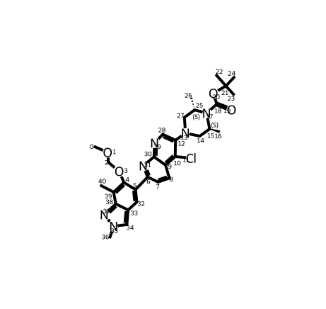 COCOc1c(-c2ccc3c(Cl)c(N4C[C@H](C)N(C(=O)OC(C)(C)C)[C@@H](C)C4)cnc3n2)cc2cn(C)nc2c1C